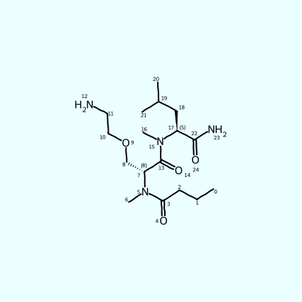 CCCC(=O)N(C)[C@H](COCCN)C(=O)N(C)[C@@H](CC(C)C)C(N)=O